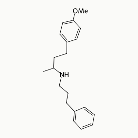 COc1ccc(CCC(C)NCCCc2ccccc2)cc1